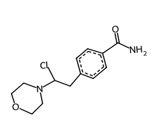 NC(=O)c1ccc(CC(Cl)N2CCOCC2)cc1